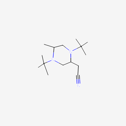 CC1CN(C(C)(C)C)C(CC#N)CN1C(C)(C)C